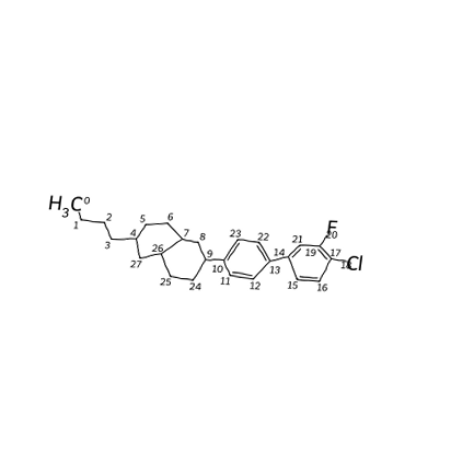 CCCCC1CCC2CC(c3ccc(-c4ccc(Cl)c(F)c4)cc3)CCC2C1